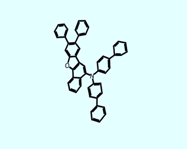 c1ccc(-c2ccc(N(c3ccc(-c4ccccc4)cc3)c3cc4c5cc(-c6ccccc6)c(-c6ccccc6)cc5oc4c4ccccc34)cc2)cc1